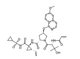 C=CC(=O)N[C@@H](C(=O)N1C[C@H](Oc2nccc3cc(OC)ccc23)C[C@H]1C(=O)N[C@]1(C(=O)NS(=O)(=O)C2CC2)C[C@H]1C=C)C(C)(C)O